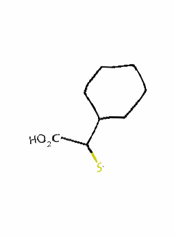 O=C(O)C([S])C1CCCCC1